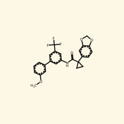 COc1cccc(-c2cc(NC(=O)C3(c4ccc5c(c4)OCO5)CC3)cc(C(F)(F)F)c2)c1